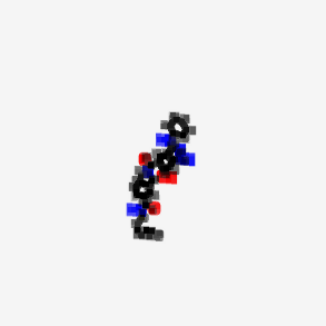 CNCCNC(=O)c1ccc2c(c1)CN(C(=O)c1cc3c(NC4CCCCC4)n[nH]c3cc1O)C2